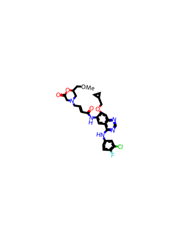 COCC1CN(CC=CC(=O)Nc2cc3c(Nc4ccc(F)c(Cl)c4)ncnc3cc2OCC2CC2)CC(=O)O1